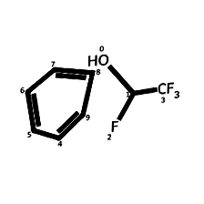 OC(F)C(F)(F)F.c1ccccc1